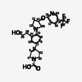 O=C(O)N1CC=C(c2ccc(N3CCC(Oc4ccc(C(F)(F)F)cn4)C3)c(CCO)c2)CC1